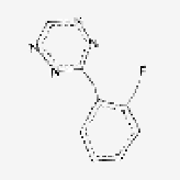 Fc1ccccc1-c1nncnn1